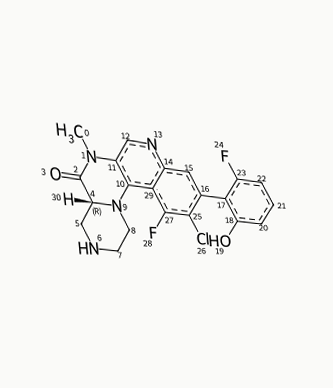 CN1C(=O)[C@H]2CNCCN2c2c1cnc1cc(-c3c(O)cccc3F)c(Cl)c(F)c21